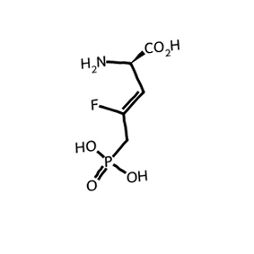 N[C@H](/C=C(\F)CP(=O)(O)O)C(=O)O